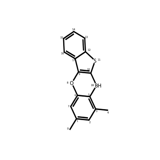 Cc1cc(C)c2c(c1)Oc1c(sc3ccccc13)B2